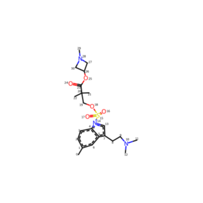 Cc1ccc2c(c1)c(CCN(C)C)cn2S(=O)(=O)OCC(C)(C)C(=O)OC1CN(C)C1